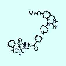 COc1ccc(CN2CCN=C2NC2CCN(c3ccc(C(=O)NC[C@H](NS(=O)(=O)c4ccccc4)C(=O)O)cc3)CC2)cc1